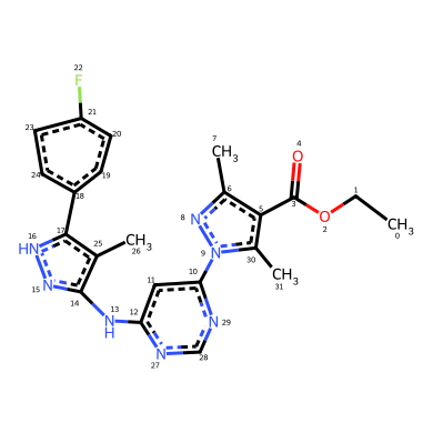 CCOC(=O)c1c(C)nn(-c2cc(Nc3n[nH]c(-c4ccc(F)cc4)c3C)ncn2)c1C